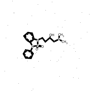 CN(C)C[C@H](O)CCN1c2ccccc2N(c2ccccc2)S1(=O)=O